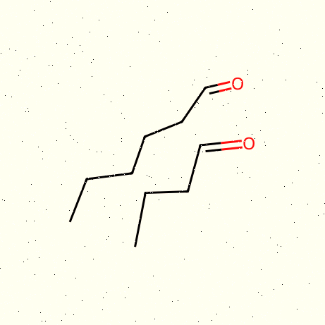 CCCC=O.CCCCCC=O